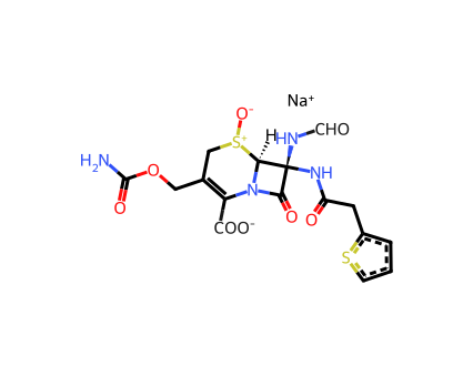 NC(=O)OCC1=C(C(=O)[O-])N2C(=O)[C@@](NC=O)(NC(=O)Cc3cccs3)[C@@H]2[S+]([O-])C1.[Na+]